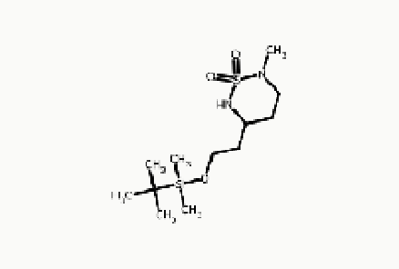 CN1CCC(CCO[Si](C)(C)C(C)(C)C)NS1(=O)=O